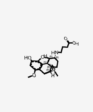 COc1cc(O)c2c3c1C[C@@H]1[C@@H]4CC[C@@H](NCCCC(=O)O)[C@H](O2)[C@]34CCN1C